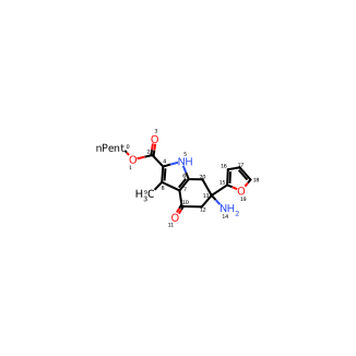 CCCCCOC(=O)c1[nH]c2c(c1C)C(=O)CC(N)(c1ccco1)C2